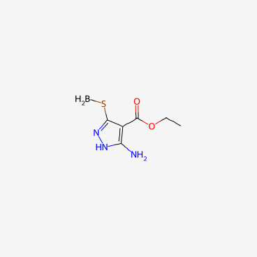 BSc1n[nH]c(N)c1C(=O)OCC